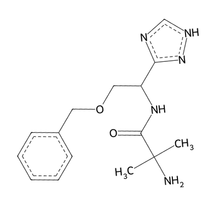 CC(C)(N)C(=O)NC(COCc1ccccc1)c1nc[nH]n1